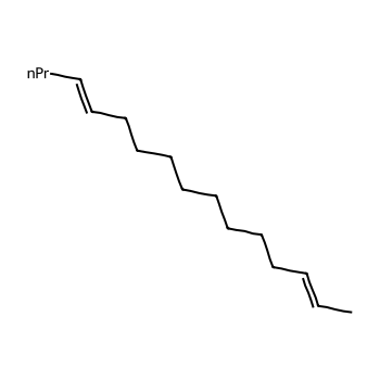 [CH2]CCC=CCCCCCCCCC=CC